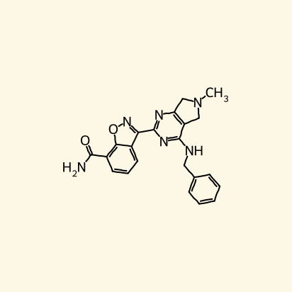 CN1Cc2nc(-c3noc4c(C(N)=O)cccc34)nc(NCc3ccccc3)c2C1